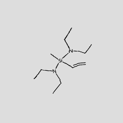 C=C[Si](C)(N(CC)CC)N(CC)CC